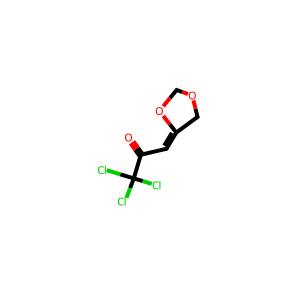 O=C(C=C1COCO1)C(Cl)(Cl)Cl